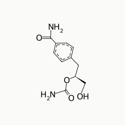 NC(=O)O[C@H](CO)Cc1ccc(C(N)=O)cc1